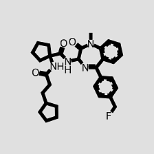 CN1C(=O)C(NC(=O)C2(NC(=O)CCC3CCCC3)CCCC2)N=C(c2ccc(CF)cc2)c2ccccc21